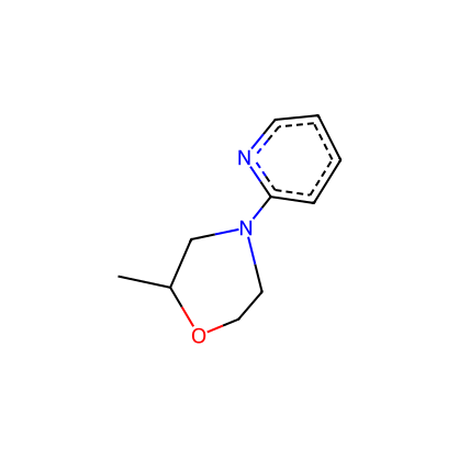 CC1CN(c2ccccn2)CCO1